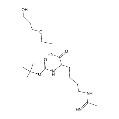 CC(=N)NCCCCC(NC(=O)OC(C)(C)C)C(=O)NCCOCCCO